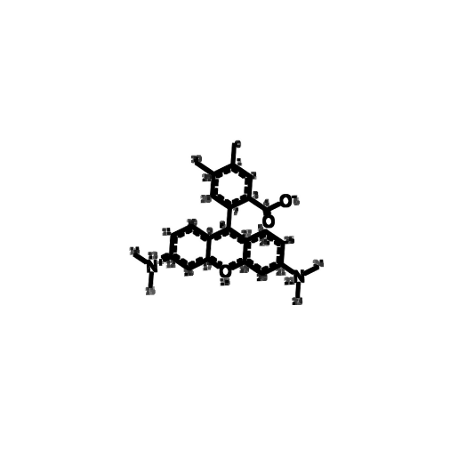 Cc1cc(C(=O)[O-])c(-c2c3ccc(=[N+](C)C)cc-3oc3cc(N(C)C)ccc23)cc1C